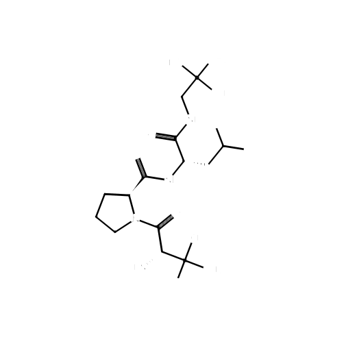 CC(C)(C)CNC(=O)[C@H](CC(F)F)NC(=O)[C@@H]1CCCN1C(=O)[C@@H](N)C(C)(C)C